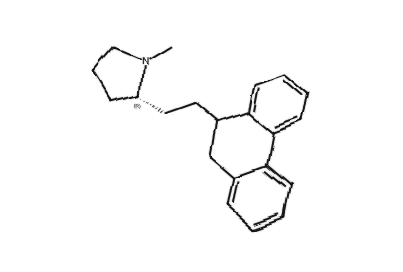 CN1CCC[C@H]1CCC1Cc2ccccc2-c2ccccc21